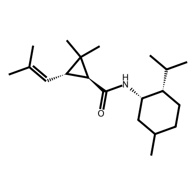 CC(C)=C[C@H]1[C@H](C(=O)N[C@H]2CC(C)CC[C@H]2C(C)C)C1(C)C